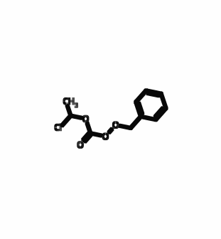 CC(Cl)OC(=O)OOCc1ccccc1